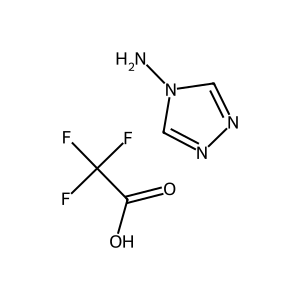 Nn1cnnc1.O=C(O)C(F)(F)F